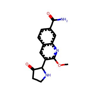 COc1nc2cc(C(N)=O)ccc2cc1C1NCCC1=O